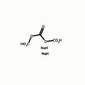 O=C(O)OC(=O)OC(=O)O.[NaH].[NaH]